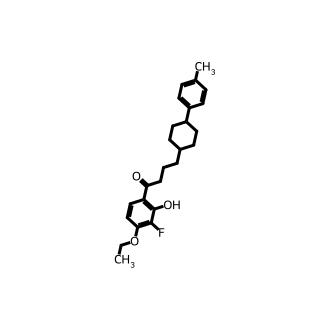 CCOc1ccc(C(=O)CCCC2CCC(c3ccc(C)cc3)CC2)c(O)c1F